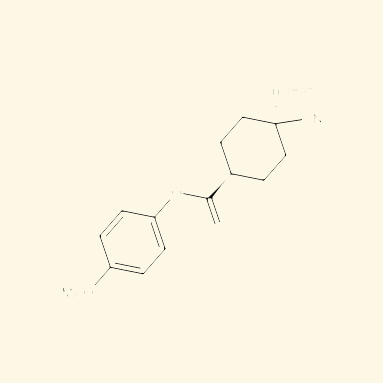 CCCCCCC[C@]1(C#N)CC[C@@H](C(=O)Oc2ccc(OC)cc2)CC1